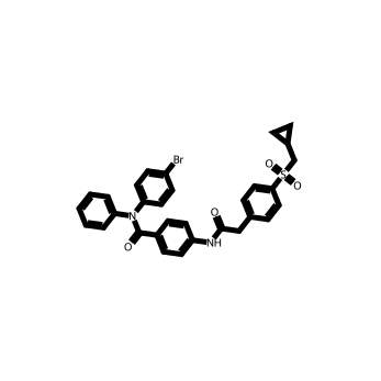 O=C(Cc1ccc(S(=O)(=O)CC2CC2)cc1)Nc1ccc(C(=O)N(c2ccccc2)c2ccc(Br)cc2)cc1